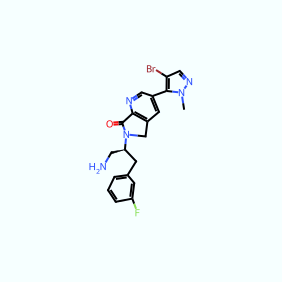 Cn1ncc(Br)c1-c1cnc2c(c1)CN([C@H](CN)Cc1cccc(F)c1)C2=O